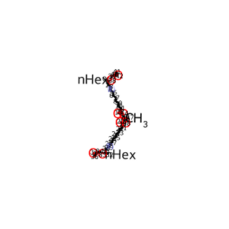 CCCCCCC(C/C=C/CCCCCCCC(=O)OCC(C)OC(=O)CCCCCCC/C=C/CC(CCCCCC)OCC1CO1)OCC1CO1